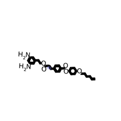 C=CCCCCOC1CCC(OC(=O)c2ccc(/C=C/C(=O)OCCc3cc(N)cc(N)c3)cc2)CC1